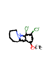 CCOc1cc(Cl)c(Cl)c2c1cc1n2CCCC1